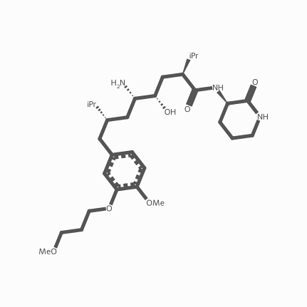 COCCCOc1cc(C[C@@H](C[C@H](N)[C@@H](O)C[C@H](C(=O)N[C@@H]2CCCNC2=O)C(C)C)C(C)C)ccc1OC